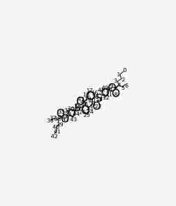 CCCCC(CC)C(=O)Oc1ccc(Sc2cccc3c2C(=O)c2cccc(Sc4ccc(OC(=O)C(CC)CCCC)cc4)c2C3=O)cc1